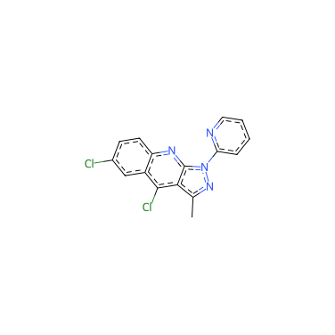 Cc1nn(-c2ccccn2)c2nc3ccc(Cl)cc3c(Cl)c12